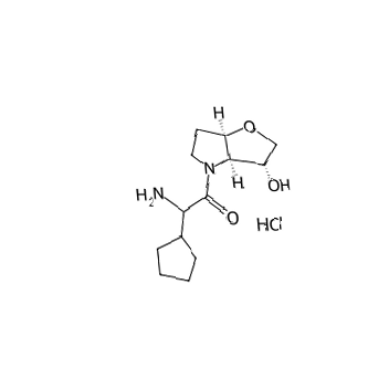 Cl.NC(C(=O)N1CC[C@H]2OC[C@H](O)[C@H]21)C1CCCC1